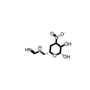 N=CNC[C@@H]1CC([N+](=O)[O-])C(O)[C@H](O)O1